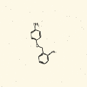 CC(C)(C)c1ccccc1COc1ccc(N)cn1